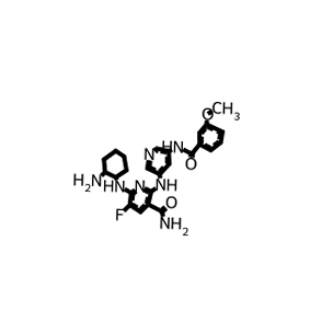 COc1cccc(C(=O)Nc2cncc(Nc3nc(NC4CCCCC4N)c(F)cc3C(N)=O)c2)c1